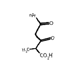 CCCC(=O)CC(=O)C(C)C(=O)O